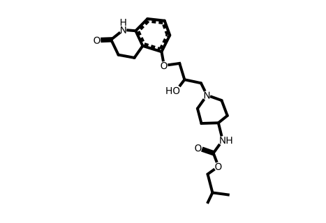 CC(C)COC(=O)NC1CCN(CC(O)COc2cccc3c2CCC(=O)N3)CC1